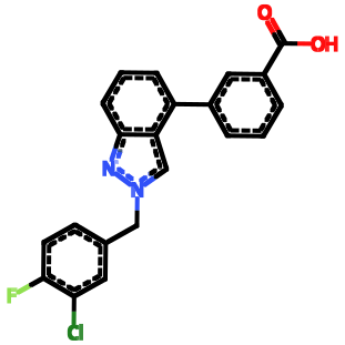 O=C(O)c1cccc(-c2cccc3nn(Cc4ccc(F)c(Cl)c4)cc23)c1